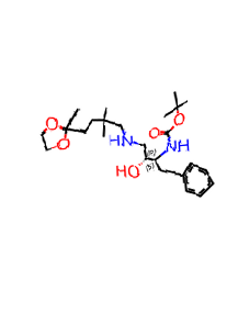 CC(C)(CCC1(C)OCCO1)CNC[C@@H](O)[C@H](Cc1ccccc1)NC(=O)OC(C)(C)C